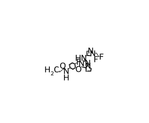 C=CC(=O)Nc1ccc(F)c(Oc2nc(Nc3cnn(CC(F)F)c3)nn3cccc23)c1